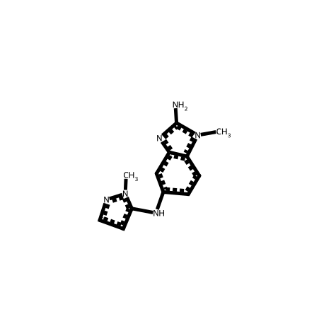 Cn1nccc1Nc1ccc2c(c1)nc(N)n2C